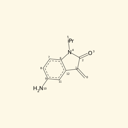 C=C1C(=O)N(C(C)C)c2ccc(N)cc21